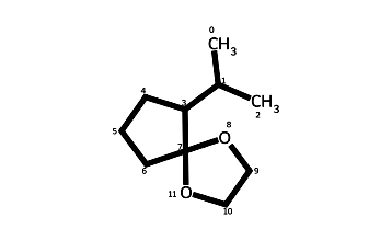 CC(C)C1CCCC12OCCO2